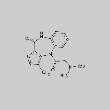 CCC(C)N(C)CC(=O)N1c2ccccc2NC(=O)c2csc(C)c21